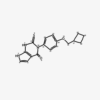 O=c1c2cc[nH]c2[nH]c(=S)n1-c1ccc(OCC2CCC2)cc1